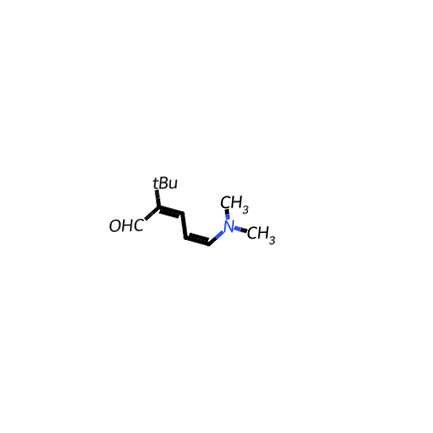 CN(C)/C=C\C=C(/C=O)C(C)(C)C